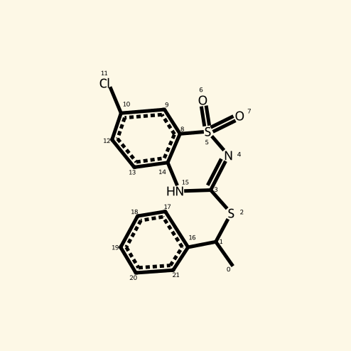 CC(SC1=NS(=O)(=O)c2cc(Cl)ccc2N1)c1ccccc1